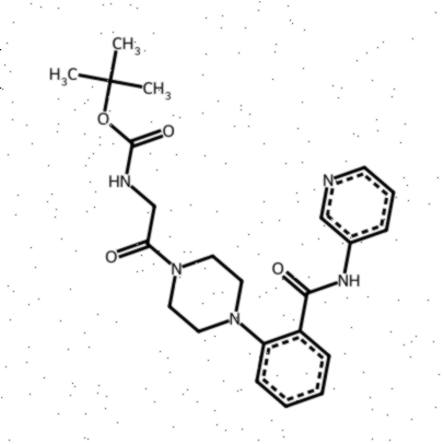 CC(C)(C)OC(=O)NCC(=O)N1CCN(c2ccccc2C(=O)Nc2cccnc2)CC1